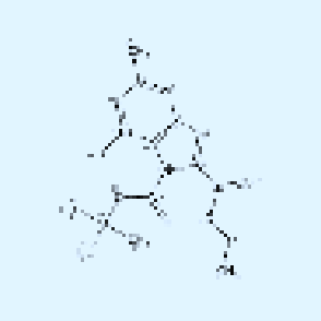 CCOC(=O)c1cc2cc(C)c[n+]([O-])c2n1C(=O)OC(C)(C)C